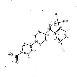 O=C(O)c1ccc(N2CCN(C(=O)c3cc(Cl)ccc3C(F)(F)F)CC2)nn1